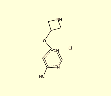 Cl.N#Cc1cc(OC2CNC2)ncn1